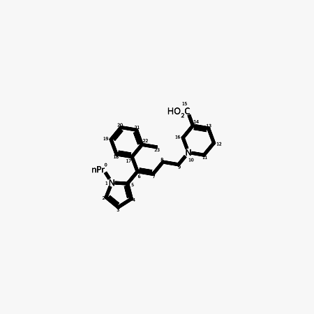 CCCn1cccc1C(=CCCN1CCC=C(C(=O)O)C1)c1ccccc1C